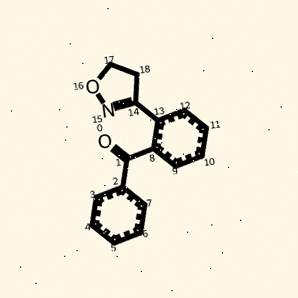 O=C(c1ccccc1)c1ccccc1C1=NOCC1